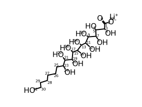 O=C([O-])C(O)C(O)C(O)C(O)C(O)C(O)C(O)C(O)C(O)C(O)C(O)CCCCCCO.[Li+]